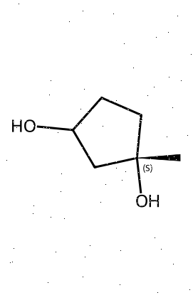 C[C@]1(O)CCC(O)C1